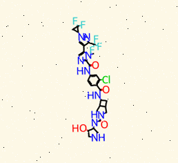 Cn1c(-c2cn(C3CC3(F)F)nc2C(F)(F)F)cnc1C(=O)Nc1ccc(C(=O)NC2CC3CN(C(=O)NC4CNCC4O)CC32)c(Cl)c1